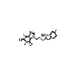 Cc1ccc2c(c1)NC(CCCn1cnc3c1c(=O)n(C)c(=O)n3C)C2